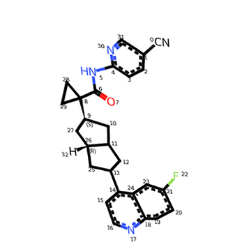 N#Cc1ccc(NC(=O)C2([C@H]3CC4CC(c5ccnc6ccc(F)cc56)C[C@@H]4C3)CC2)nc1